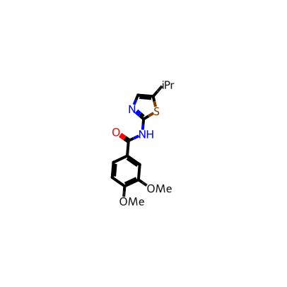 COc1ccc(C(=O)Nc2ncc(C(C)C)s2)cc1OC